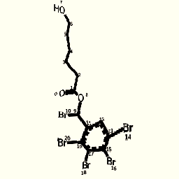 O=C(CCCCCO)OC(Br)c1cc(Br)c(Br)c(Br)c1Br